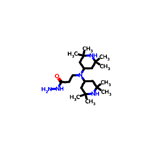 CC1(C)CC(N(CCC(=O)NN)C2CC(C)(C)NC(C)(C)C2)CC(C)(C)N1